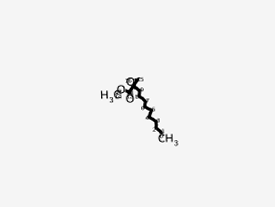 CCCCCCCCCCC1(C(=O)OC)CO1